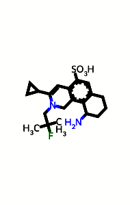 CC(C)(F)CN1Cc2c(c(S(=O)(=O)O)cc3c2C(N)CCC3)C=C1C1CC1